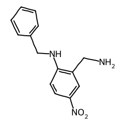 NCc1cc([N+](=O)[O-])ccc1NCc1ccccc1